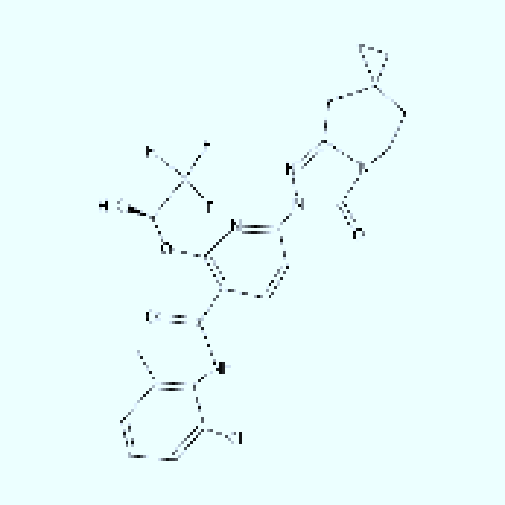 C[C@H](Oc1nc(-n2nc3n(c2=O)CCC2(CC2)C3)ccc1C(=O)Nc1c(F)cccc1Cl)C(F)(F)F